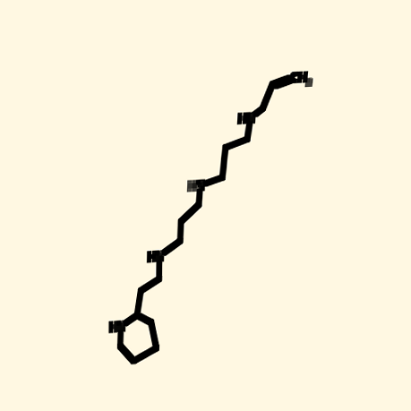 C=CCNCCCNCCCNCCC1CCCCN1